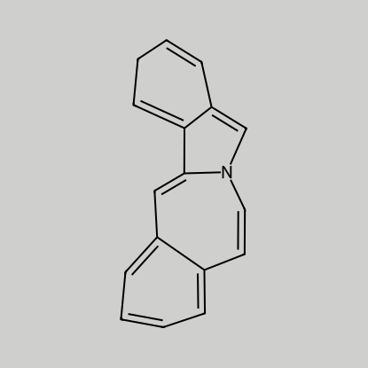 C1=Cc2cn3c(c2=CC1)=Cc1ccccc1C=C3